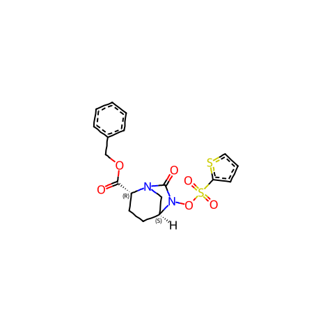 O=C(OCc1ccccc1)[C@H]1CC[C@H]2CN1C(=O)N2OS(=O)(=O)c1cccs1